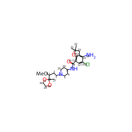 COC(CCN1CCC(NC(=O)c2cc(Cl)c(N)c3c2OC(C)(C)C3)CC1)C1(C)OCCO1